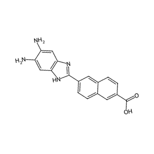 Nc1cc2nc(-c3ccc4cc(C(=O)O)ccc4c3)[nH]c2cc1N